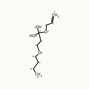 C=CCOC(O)(O)CCOCCCC